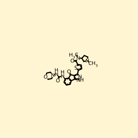 CN1CCC(N(C)C(=O)c2ccc(-c3n[nH]c4c3C(=O)c3c(NC(=O)NN5CCOCC5)cccc3-4)s2)C1